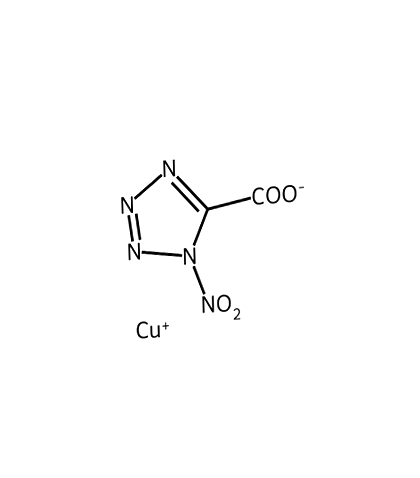 O=C([O-])c1nnnn1[N+](=O)[O-].[Cu+]